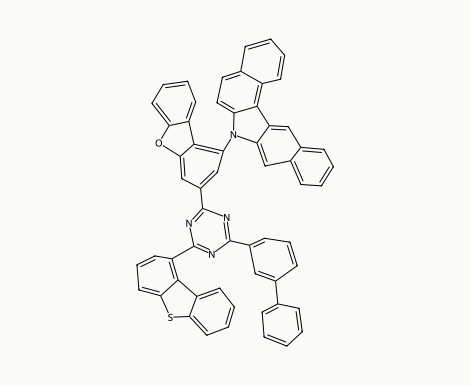 c1ccc(-c2cccc(-c3nc(-c4cc(-n5c6cc7ccccc7cc6c6c7ccccc7ccc65)c5c(c4)oc4ccccc45)nc(-c4cccc5sc6ccccc6c45)n3)c2)cc1